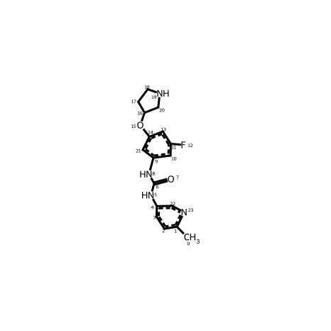 Cc1ccc(NC(=O)Nc2cc(F)cc(OC3CCNC3)c2)cn1